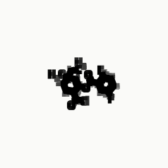 CCC1(C)C=C(OC(=O)c2cc(F)ccc2F)C(C(=O)Cl)=CC1